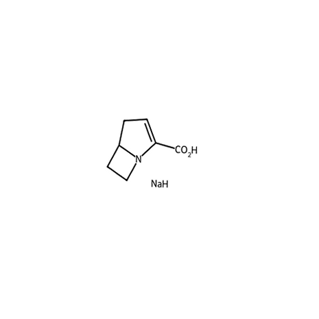 O=C(O)C1=CCC2CCN12.[NaH]